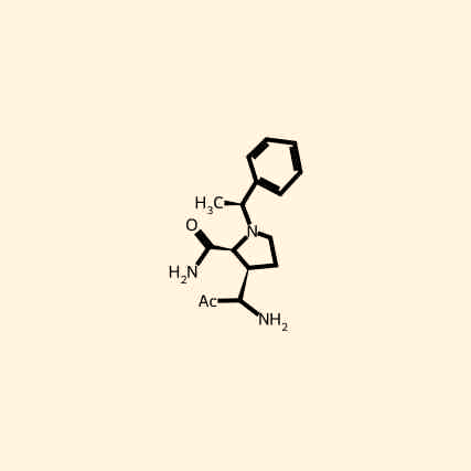 CC(=O)C(N)[C@@H]1CCN([C@@H](C)c2ccccc2)[C@@H]1C(N)=O